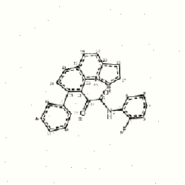 O=C(Nc1ccccc1F)C(=O)c1c(-c2ccccc2)ccc2ccc3cccn3c12